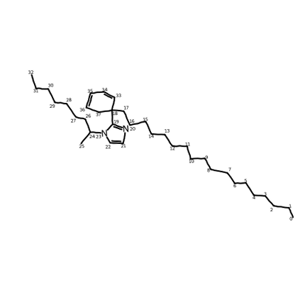 CCCCCCCCCCCCCCCCCCC1(c2nccn2C(C)CCCCCCC)C=CC=CC1